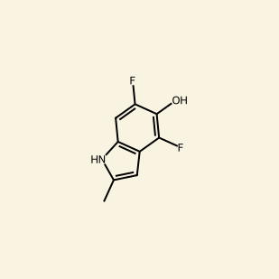 Cc1cc2c(F)c(O)c(F)cc2[nH]1